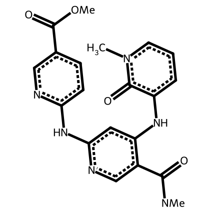 CNC(=O)c1cnc(Nc2ccc(C(=O)OC)cn2)cc1Nc1cccn(C)c1=O